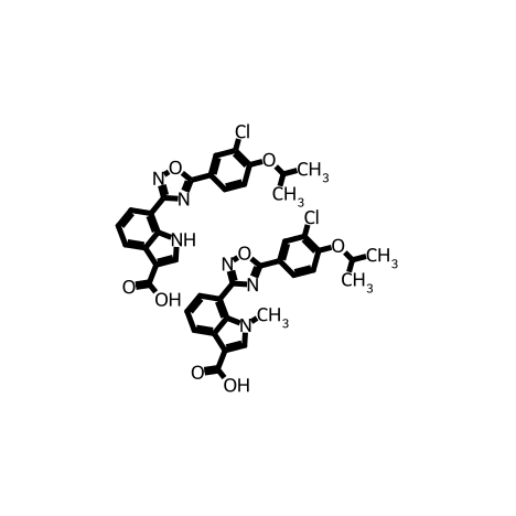 CC(C)Oc1ccc(-c2nc(-c3cccc4c(C(=O)O)c[nH]c34)no2)cc1Cl.CC(C)Oc1ccc(-c2nc(-c3cccc4c(C(=O)O)cn(C)c34)no2)cc1Cl